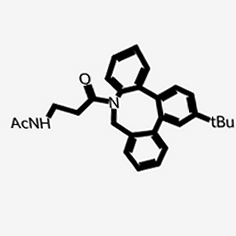 CC(=O)NCCC(=O)N1Cc2ccccc2-c2cc(C(C)(C)C)ccc2-c2ccccc21